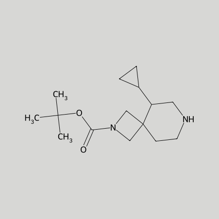 CC(C)(C)OC(=O)N1CC2(CCNCC2C2CC2)C1